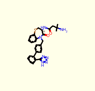 CC(C)(N)CC(=O)N[C@@H]1CSc2ccccc2N(Cc2ccc(-c3ccccc3-c3nnn[nH]3)cc2)C1=O